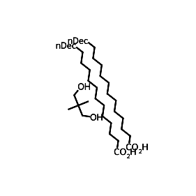 CC(C)(CO)CO.CCCCCCCCCCCCCCCCCCCCCC(=O)O.CCCCCCCCCCCCCCCCCCCCCC(=O)O